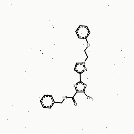 Cc1nc(-c2ccn(CCOc3ccccc3)n2)sc1C(=O)NCc1ccccc1